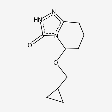 O=c1[nH]nc2n1C(OCC1CC1)CCC2